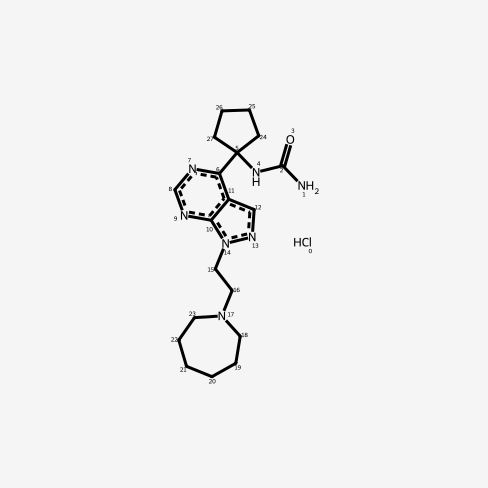 Cl.NC(=O)NC1(c2ncnc3c2cnn3CCN2CCCCCC2)CCCC1